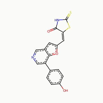 O=C1NC(=S)S/C1=C/c1cc2cncc(-c3ccc(O)cc3)c2o1